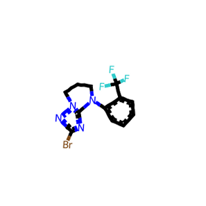 FC(F)(F)c1ccccc1N1CCCn2nc(Br)nc21